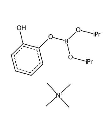 CC(C)OB(Oc1ccccc1O)OC(C)C.C[N+](C)(C)C